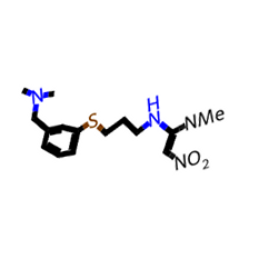 CNC(=C[N+](=O)[O-])NCCCSc1cccc(CN(C)C)c1